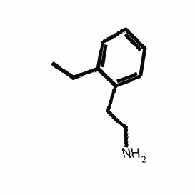 CCc1ccccc1CCN